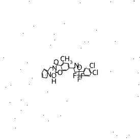 Cc1cc(C2=NOC(c3ccc(Cl)c(Cl)c3)(C(F)(F)F)C2)ccc1C(=O)N(Cc1ccccn1)C(=O)O